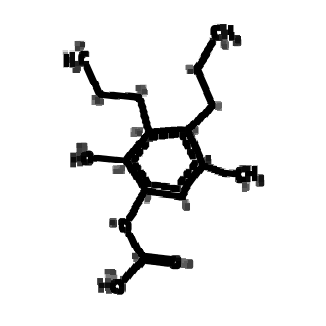 CCCc1c(C)cc(OC(=O)O)c(O)c1CCC